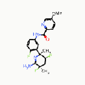 COc1ccc(C(=O)Nc2ccc(F)c([C@@]3(C)N=C(N)[C@](C)(F)C[C@@H]3F)c2)nc1